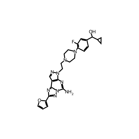 Nc1nc2c(cnn2CCN2CCN(c3ccc(C(O)C4CC4)cc3F)CC2)c2nc(-c3ccco3)nn12